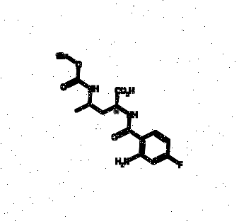 CC(C[C@H](NC(=O)c1ccc(F)cc1N)C(=O)O)NC(=O)OC(C)(C)C